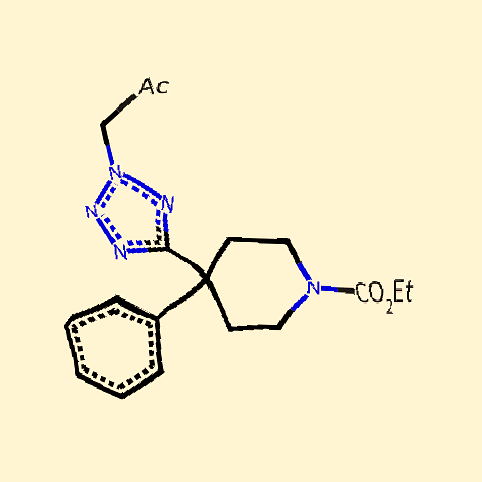 CCOC(=O)N1CCC(c2ccccc2)(c2nnn(CC(C)=O)n2)CC1